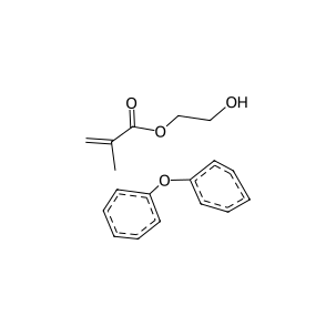 C=C(C)C(=O)OCCO.c1ccc(Oc2ccccc2)cc1